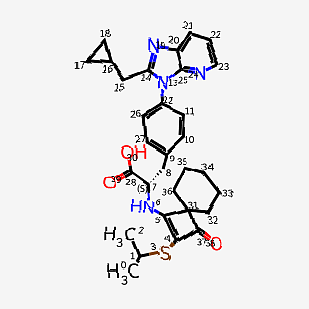 CC(C)SC1=C(N[C@@H](Cc2ccc(-n3c(CC4CC4)nc4cccnc43)cc2)C(=O)O)C2(CCCCC2)C1=O